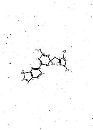 Cn1cc(Cl)c(CC2(N)N=C(N)N=C(c3ccc4cn[nH]c4c3)N2)n1